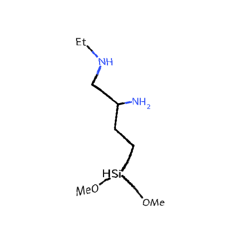 CCNCC(N)CC[SiH](OC)OC